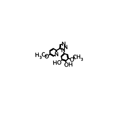 COc1ccc(-c2cnnn2-c2cc(O)c(O)c(OC)c2)nc1